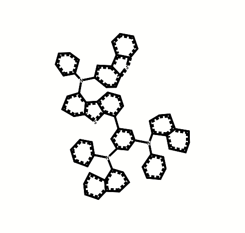 c1ccc(N(c2cc(-c3cccc4c3sc3cccc(N(c5ccccc5)c5ccc6sc7ccccc7c6c5)c34)cc(N(c3ccccc3)c3cccc4ccccc34)c2)c2cccc3ccccc23)cc1